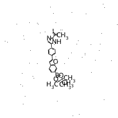 C[C@H](I)c1ncc(-c2ccc(-c3cc4ccc(B5OC(C)(C)C(C)(C)O5)cc4o3)cc2)[nH]1